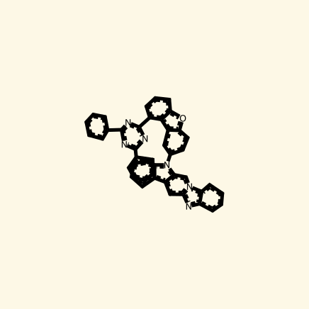 c1ccc(-c2nc(-c3ccccc3)nc(-c3cccc4oc5ccc(-n6c7ccccc7c7cc8nc9ccccc9n8cc76)cc5c34)n2)cc1